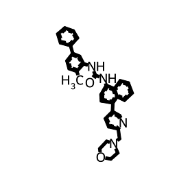 Cc1ccc(-c2ccccc2)cc1NC(=O)Nc1ccc(-c2ccc(CN3CCOCC3)nc2)c2ccccc12